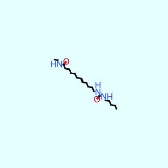 CCCCCNC(=O)NCCCC/C=C/CCCCCC(=O)NCC